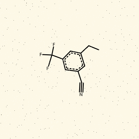 CCc1cc(C#N)cc(C(F)(F)F)c1